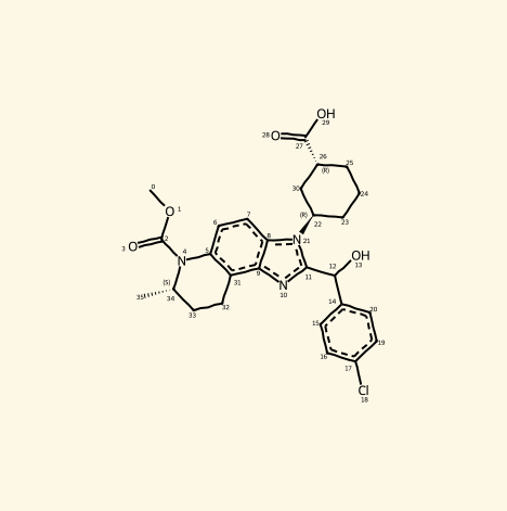 COC(=O)N1c2ccc3c(nc(C(O)c4ccc(Cl)cc4)n3[C@@H]3CCC[C@@H](C(=O)O)C3)c2CC[C@@H]1C